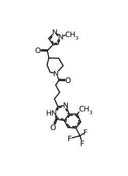 Cc1cc(C(F)(F)F)cc2c(=O)[nH]c(CCCC(=O)N3CCC(C(=O)c4cnn(C)c4)CC3)nc12